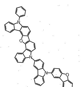 c1ccc(-n2c3ccccc3c3c4oc5c(ccc6c5c5ccccc5n6-c5ccc6c(c5)c5ccccc5n6-c5ccc6oc7ccccc7c6c5)c4ccc32)cc1